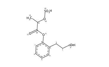 CCCCCCCCCCCCc1ccccc1OC(=O)C(C)OS(=O)(=O)O